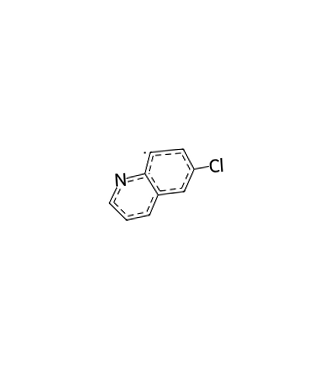 Clc1c[c]c2ncccc2c1